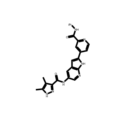 Cc1[nH]nc(C(=O)Nc2cnc3[nH]c(-c4ccnc(C(=O)NC(C)C)c4)cc3c2)c1C